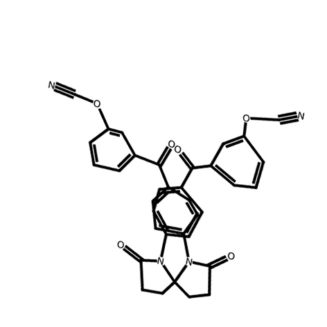 N#COc1cccc(C(=O)c2ccc(N3C(=O)CCC34CCC(=O)N4c3ccc(C(=O)c4cccc(OC#N)c4)cc3)cc2)c1